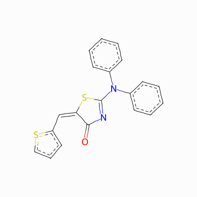 O=C1N=C(N(c2ccccc2)c2ccccc2)S/C1=C/c1cccs1